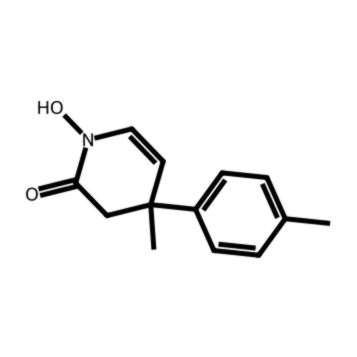 Cc1ccc(C2(C)C=CN(O)C(=O)C2)cc1